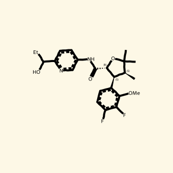 CCC(O)c1ccc(NC(=O)[C@@H]2OC(C)(C)[C@@H](C)[C@H]2c2ccc(F)c(F)c2OC)cn1